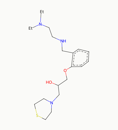 CCN(CC)CCNCc1ccccc1OCC(O)CN1CCSCC1